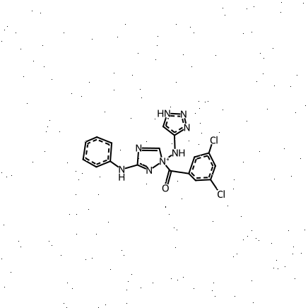 O=C(c1cc(Cl)cc(Cl)c1)[N+]1(Nc2c[nH]nn2)C=NC(Nc2ccccc2)=N1